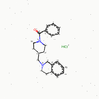 Cl.O=C(c1ccccc1)N1CCC(CN2CCc3ccccc3C2)CC1